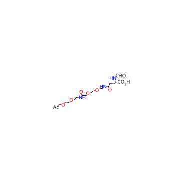 CC(=O)COCCOCCNC(=O)COCCOCCNC(=O)CCC(NC=O)C(=O)O